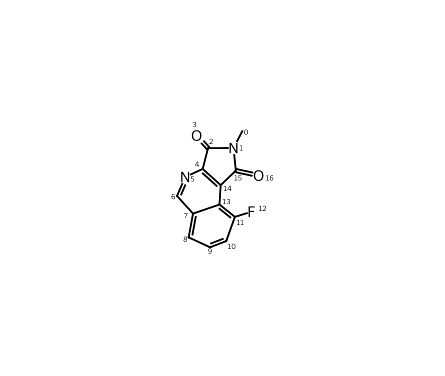 CN1C(=O)c2ncc3cccc(F)c3c2C1=O